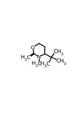 C=C1OCCC(C(C)(C)C)N1C